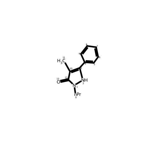 CCCn1[nH]c(-c2ccccc2)c(C)c1=O